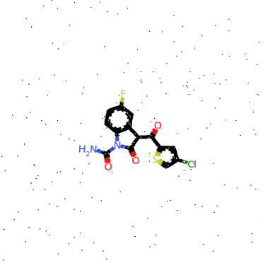 NC(=O)N1C(=O)C(C(=O)c2cc(Cl)cs2)c2cc(F)ccc21